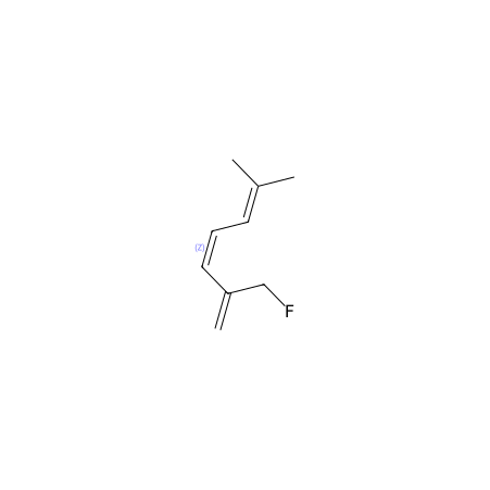 C=C(/C=C\C=C(C)C)CF